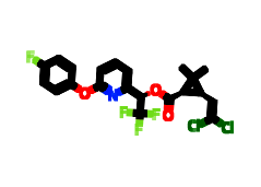 CC1(C)[C@H](C(=O)O[C@@H](c2cccc(Oc3ccc(F)cc3)n2)C(F)(F)F)[C@@H]1C=C(Cl)Cl